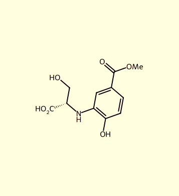 COC(=O)c1ccc(O)c(N[C@@H](CO)C(=O)O)c1